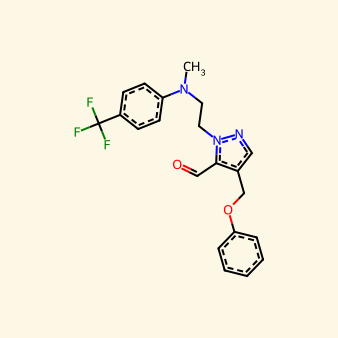 CN(CCn1ncc(COc2ccccc2)c1C=O)c1ccc(C(F)(F)F)cc1